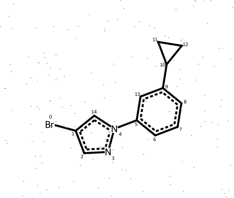 Brc1cnn(-c2cccc(C3CC3)c2)c1